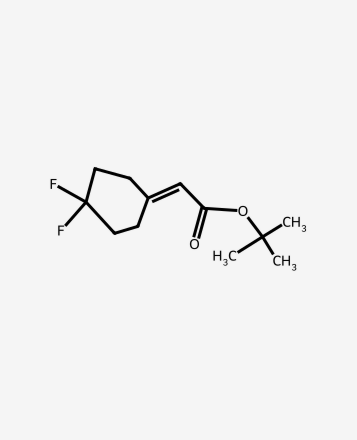 CC(C)(C)OC(=O)C=C1CCC(F)(F)CC1